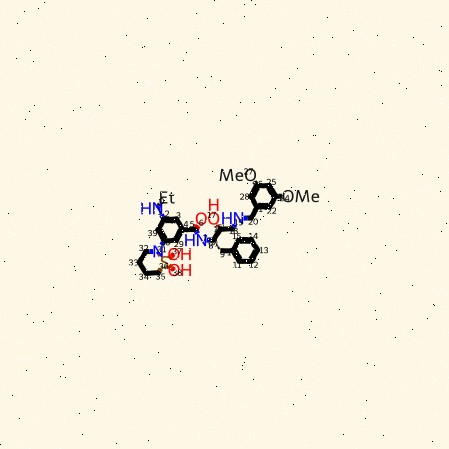 CCNc1cc(C(=O)N[C@@H](Cc2ccccc2)[C@@H](O)CNCc2cc(OC)cc(OC)c2)cc(N2CCCCS2(O)O)c1